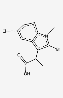 CC(C(=O)O)c1c(Br)n(C)c2ccc(Cl)cc12